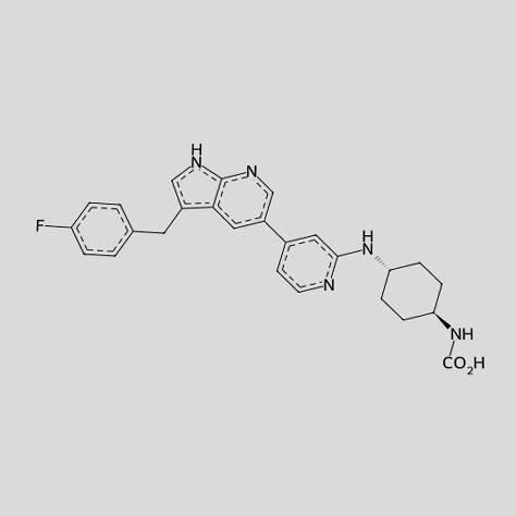 O=C(O)N[C@H]1CC[C@H](Nc2cc(-c3cnc4[nH]cc(Cc5ccc(F)cc5)c4c3)ccn2)CC1